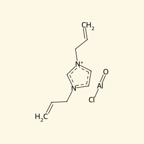 C=CCn1cc[n+](CC=C)c1.[O]=[Al][Cl]